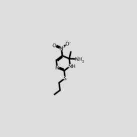 CCCSC1=NC=C([N+](=O)[O-])C(C)(N)N1